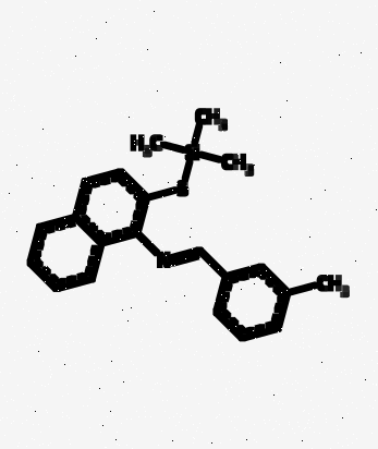 Cc1cccc(/C=N/c2c(S[Si](C)(C)C)ccc3ccccc23)c1